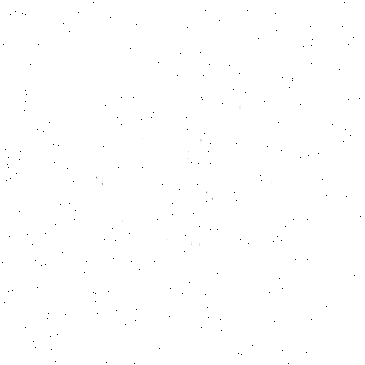 O=C1C=CC2C=NOC2/C1=C1/Nc2c(F)cccc2C1=O